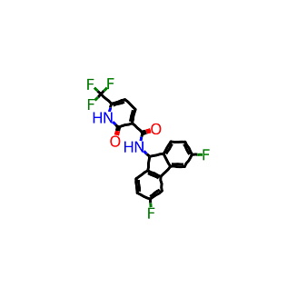 O=C(NC1c2ccc(F)cc2-c2cc(F)ccc21)c1ccc(C(F)(F)F)[nH]c1=O